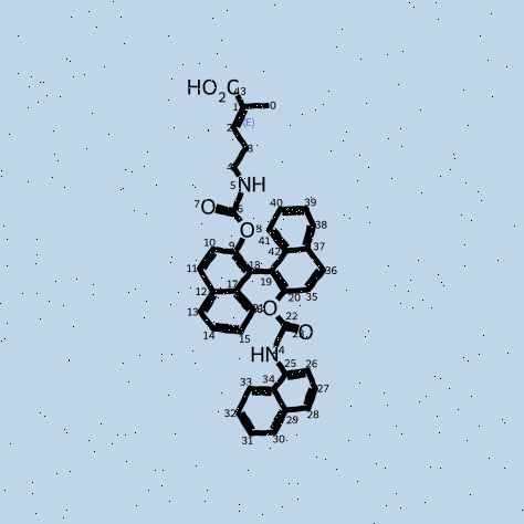 C/C(=C\CCNC(=O)Oc1ccc2ccccc2c1-c1c(OC(=O)Nc2cccc3ccccc23)ccc2ccccc12)C(=O)O